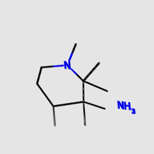 CC1CCN(C)C(C)(C)C1(C)C.N